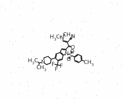 Cc1ccc(S(=O)(=O)n2c(C(=O)C(C#N)=CN(C)C)cc3cc(C4CCN(C(C)C)CC4)c(C(F)(F)F)cc32)cc1